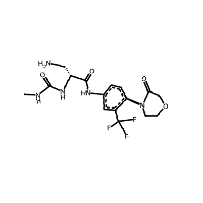 CNC(=O)N[C@H](CN)C(=O)Nc1ccc(N2CCOCC2=O)c(C(F)(F)F)c1